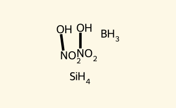 B.O=[N+]([O-])O.O=[N+]([O-])O.[SiH4]